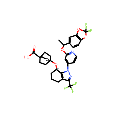 CC(Oc1cc(-n2nc(C(F)(F)F)c3c2[C@H](OC24CCC(C(=O)O)(CC2)CC4)CCC3)ccn1)c1ccc2c(c1)OC(F)(F)O2